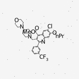 CCCOc1cc2nc(-c3cccc(C(F)(F)F)c3)c(CN3CCC(N4CCOCC4)CC3)c(C(=O)OC)c2cc1Cl